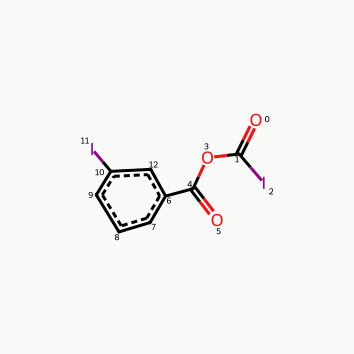 O=C(I)OC(=O)c1cccc(I)c1